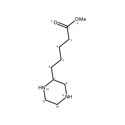 COC(=O)CCCCC1CNCCN1